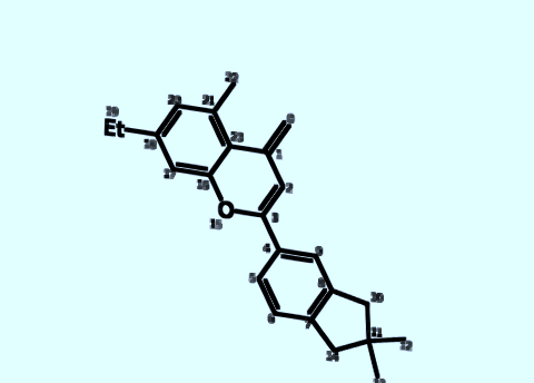 C=C1C=C(c2ccc3c(c2)CC(C)(C)C3)Oc2cc(CC)cc(C)c21